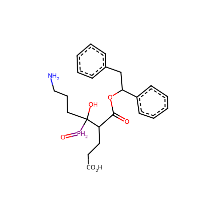 NCCCC(O)([PH2]=O)C(CCC(=O)O)C(=O)OC(Cc1ccccc1)c1ccccc1